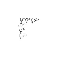 [Co+2].[La+3].[Li+].[O-2].[O-2].[O-2]